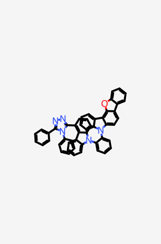 c1ccc(-c2nnc(-c3cccc4c3c3ccccc3n4-c3ccccc3-n3c4ccccc4c4c5oc6ccccc6c5ccc43)n2-c2ccccc2)cc1